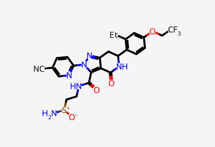 CCc1cc(OCC(F)(F)F)ccc1C1Cc2nn(-c3ccc(C#N)cn3)c(C(=O)NCC[S+](N)[O-])c2C(=O)N1